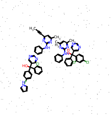 CC#Cc1cc(C)nc(Nc2ccccc2)n1.Cc1cc(C)nc(Nc2ccccc2)n1.OC(c1ccc(F)cc1)(c1cncnc1)c1ccccc1Cl.OC(c1ccccc1)(c1cncnc1)c1ccc(Cl)cc1Cl.c1cc[nH]c1